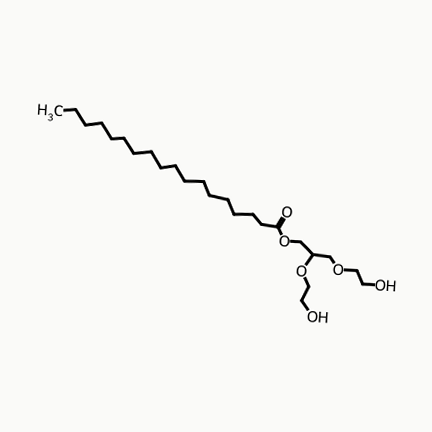 CCCCCCCCCCCCCCCCCC(=O)OCC(COCCO)OCCO